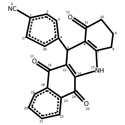 N#Cc1ccc(C2C3=C(CCCC3=O)NC3=C2C(=O)c2ccccc2C3=O)cc1